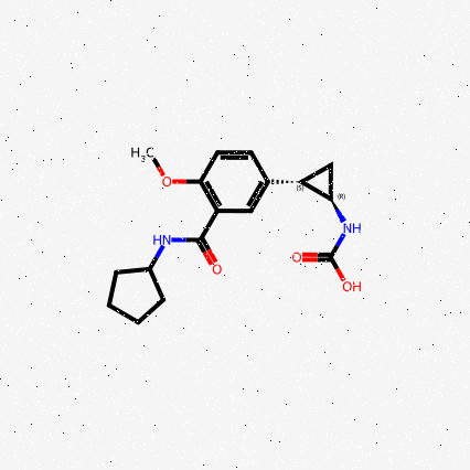 COc1ccc([C@@H]2C[C@H]2NC(=O)O)cc1C(=O)NC1CCCC1